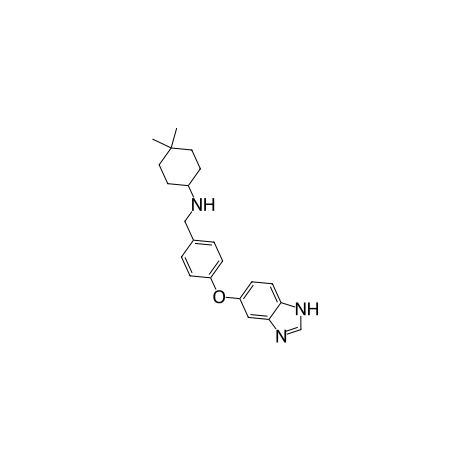 CC1(C)CCC(NCc2ccc(Oc3ccc4[nH]cnc4c3)cc2)CC1